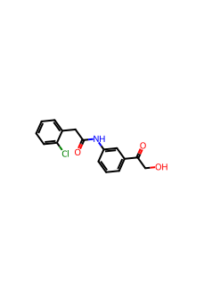 O=C(Cc1ccccc1Cl)Nc1cccc(C(=O)CO)c1